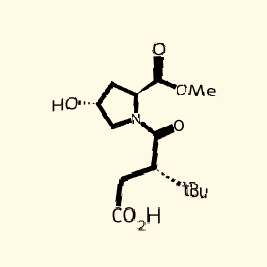 COC(=O)[C@@H]1C[C@@H](O)CN1C(=O)[C@@H](CC(=O)O)C(C)(C)C